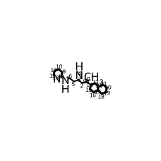 C[C@@H](CC(=N)CCNc1ccccn1)c1ccc2ccccc2c1